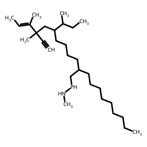 C#CC(C)(CC(CCCCC(CCCCCCCCC)CPNC)C(C)CC)/C(C)=C/C